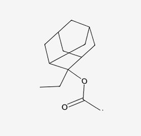 [CH2]C(=O)OC1(CC)C2CC3CC(C2)CC1C3